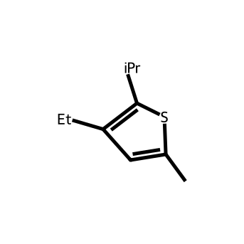 CCc1cc(C)sc1C(C)C